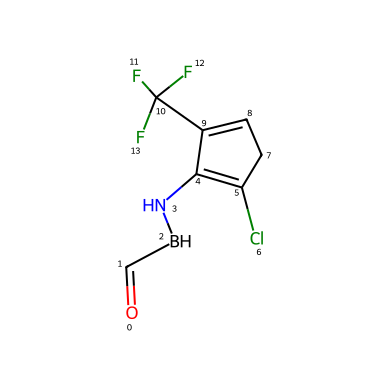 O=CBNC1=C(Cl)CC=C1C(F)(F)F